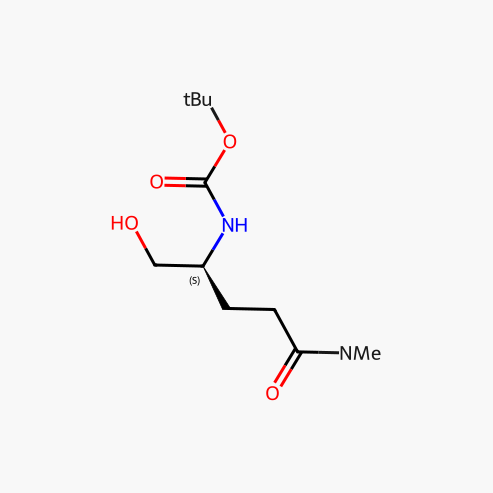 CNC(=O)CC[C@@H](CO)NC(=O)OC(C)(C)C